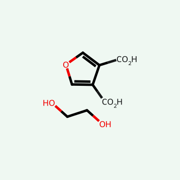 O=C(O)c1cocc1C(=O)O.OCCO